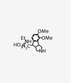 CCNC(=O)O.COc1ccc2c(c1OC)C1CNCC1C2C